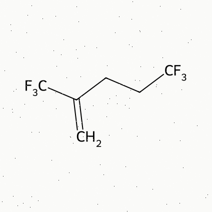 C=C(CCC(F)(F)F)C(F)(F)F